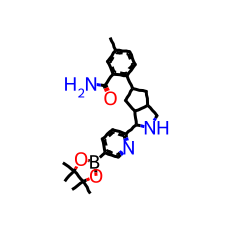 Cc1ccc(C2CC3CNC(c4ccc(B5OC(C)(C)C(C)(C)O5)cn4)C3C2)c(C(N)=O)c1